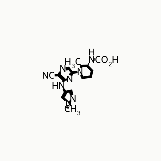 C[C@@H]1[C@H](NC(=O)O)CCCN1c1cnc(C#N)c(Nc2cnn(C)c2)n1